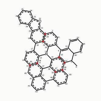 CC1C=CC(c2ccccc2N(c2ccccc2-c2ccc3oc4ccccc4c3c2)c2ccccc2-c2cccc3cccc(-c4ccccc4)c23)=C2C=CC=CC21